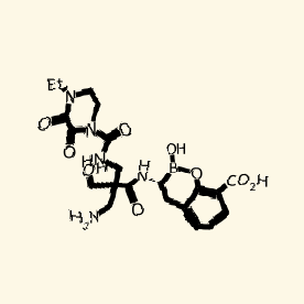 CCN1CCN(C(=O)NCC(CN)(CO)C(=O)N[C@H]2Cc3cccc(C(=O)O)c3OB2O)C(=O)C1=O